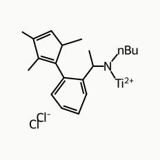 CCCC[N]([Ti+2])C(C)c1ccccc1C1=C(C)C(C)=CC1C.[Cl-].[Cl-]